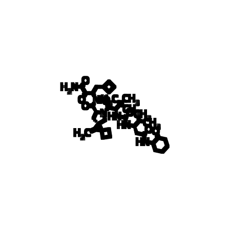 C=C1C2(CCC2)[C@@]12C[C@@H](C(=O)NC(CC1CCC1)C(=O)C(N)=O)N(C(=O)[C@@H](NC(=O)N[C@H](CC(=O)NC1CCCCC1=O)C(C)C)C(C)(C)C)C2